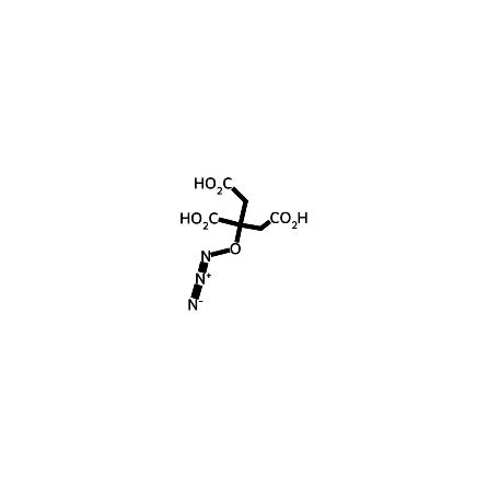 [N-]=[N+]=NOC(CC(=O)O)(CC(=O)O)C(=O)O